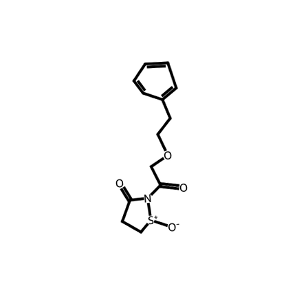 O=C1CC[S+]([O-])N1C(=O)COCCc1ccccc1